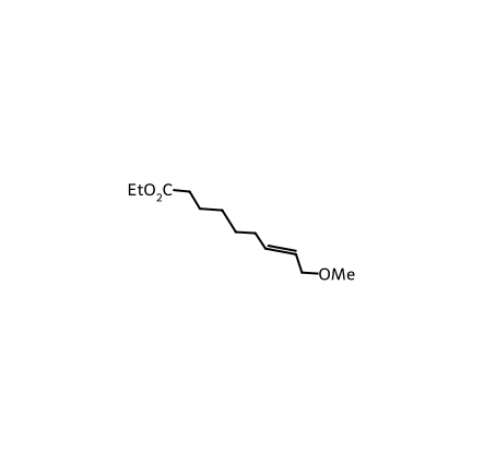 CCOC(=O)CCCCCC=CCOC